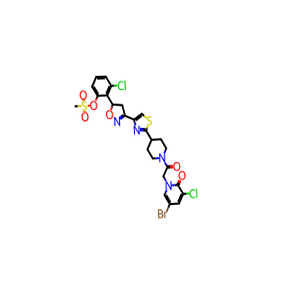 CS(=O)(=O)Oc1cccc(Cl)c1C1CC(c2csc(C3CCN(C(=O)Cn4cc(Br)cc(Cl)c4=O)CC3)n2)=NO1